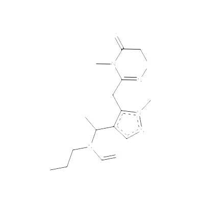 CCCN(C=O)C(C)c1cnn(C)c1CC1=NOCC(=O)N1C